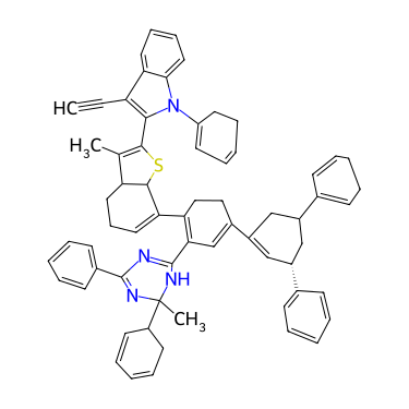 C#Cc1c(C2=C(C)C3CCC=C(C4=C(C5=NC(c6ccccc6)=NC(C)(C6C=CC=CC6)N5)C=C(C5=C[C@@H](c6ccccc6)CC(C6=CCCC=C6)C5)CC4)C3S2)n(C2=CC=CCC2)c2ccccc12